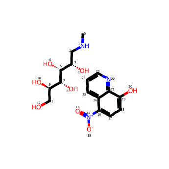 CNC[C@H](O)[C@@H](O)[C@H](O)[C@H](O)CO.O=[N+]([O-])c1ccc(O)c2ncccc12